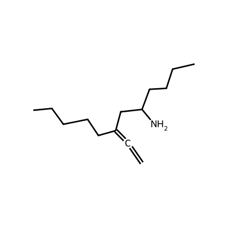 C=C=C(CCCCC)CC(N)CCCC